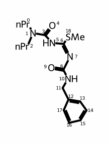 CCCN(CCC)C(=O)NC(=NC(=O)NCc1ccccc1)SC